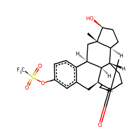 C[C@]12C[C@@H]3c4ccc(OS(=O)(=O)C(F)(F)F)cc4C[C@]45CCC(=O)C=C4CC[C@H]([C@H]35)[C@@H]1CC[C@@H]2O